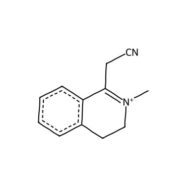 C[N+]1=C(CC#N)c2ccccc2CC1